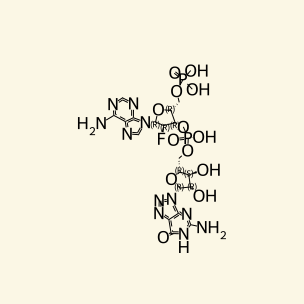 Nc1nc2c(nnn2[C@@H]2O[C@H](COP(=O)(O)O[C@H]3[C@@H](F)[C@H](n4cnc5c(N)ncnc54)O[C@@H]3COP(=O)(O)O)[C@@H](O)[C@H]2O)c(=O)[nH]1